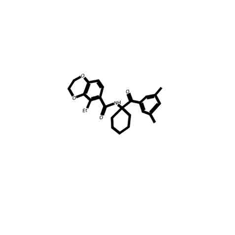 CCc1c(C(=O)NC2(C(=O)c3cc(C)cc(C)c3)CCCCC2)ccc2c1OCCO2